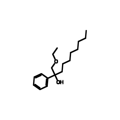 CCCCCCCCC(O)(COCC)c1ccccc1